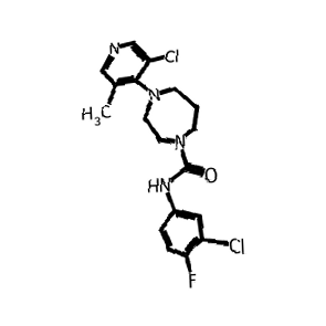 Cc1cncc(Cl)c1N1CCCN(C(=O)Nc2ccc(F)c(Cl)c2)CC1